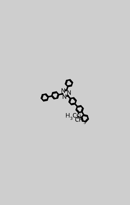 C[Si]1(C)c2ccccc2-c2ccc(-c3ccc(-c4nc(-c5ccccc5)nc(-c5ccc(-c6ccccc6)cc5)n4)cc3)cc21